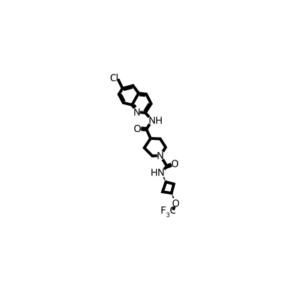 O=C(Nc1ccc2cc(Cl)ccc2n1)C1CCN(C(=O)N[C@H]2C[C@@H](OC(F)(F)F)C2)CC1